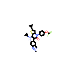 Cn1cc2cc(-c3c(NC4CC4)c4sc(C5CC5)cc4n(-c4ccc(OC(F)F)cc4)c3=O)ccc2n1